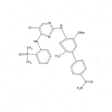 COc1cc(-c2ccc(C(N)=O)cc2)c(C)cc1Nc1ncc(Cl)c(Nc2ccccc2P(C)(C)=O)n1